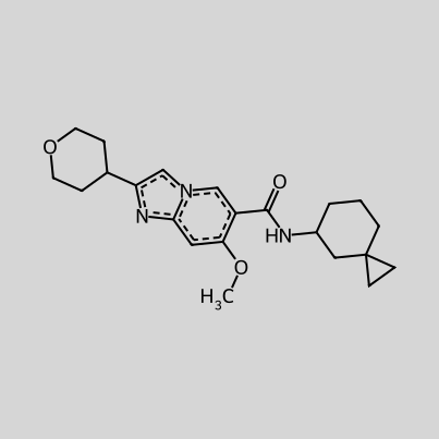 COc1cc2nc(C3CCOCC3)cn2cc1C(=O)NC1CCCC2(CC2)C1